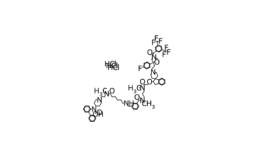 CN(CCN1CCC(N(C(=O)O)c2ccccc2-c2ccccc2)CC1)C(=O)CCCCCNCc1cccc(C(=O)N(C)CCCN(C)C(=O)CO[C@H]2Cc3ccccc3C23CCN(CC[C@@]2(c4ccc(F)cc4)CN(C(=O)c4cc(C(F)(F)F)cc(C(F)(F)F)c4)CO2)CC3)c1.Cl.Cl.Cl